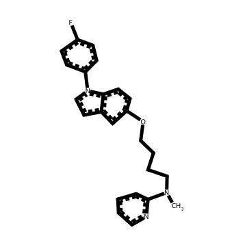 CN(CCCCOc1ccc2c(ccn2-c2ccc(F)cc2)c1)c1ccccn1